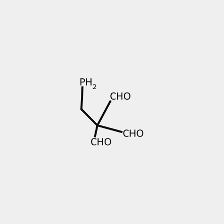 O=CC(C=O)(C=O)CP